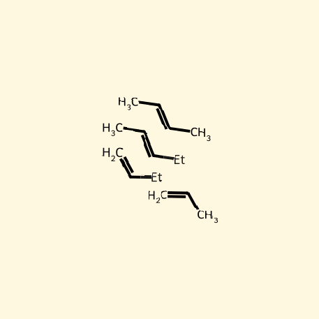 C=CC.C=CCC.CC=CC.CC=CCC